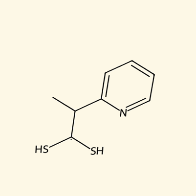 CC([C](S)S)c1ccccn1